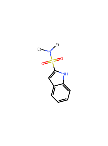 CCN(CC)S(=O)(=O)c1cc2ccccc2[nH]1